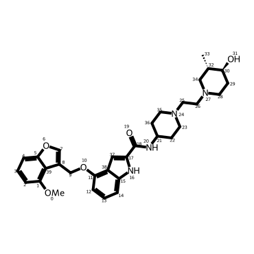 COc1cccc2occ(COc3cccc4[nH]c(C(=O)NC5CCN(CCN6CC[C@H](O)[C@@H](C)C6)CC5)cc34)c12